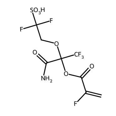 C=C(F)C(=O)OC(OCC(F)(F)S(=O)(=O)O)(C(N)=O)C(F)(F)F